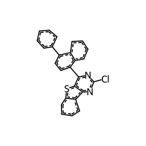 Clc1nc(-c2ccc(-c3ccccc3)c3ccccc23)c2sc3ccccc3c2n1